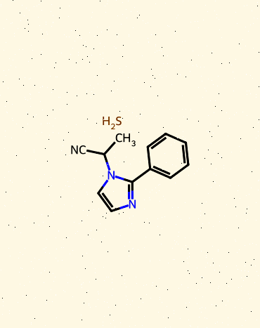 CC(C#N)n1ccnc1-c1ccccc1.S